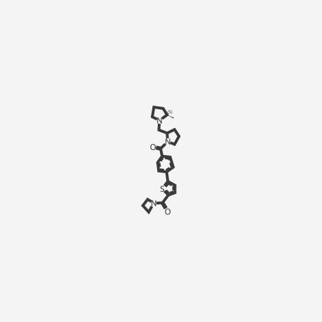 C[C@H]1CCCN1CC1CCCN1C(=O)c1ccc(-c2ccc(C(=O)N3CCC3)s2)cc1